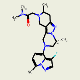 CC1Cc2nn3c(c2CN1CC(=O)N(C)C)CN(c1ccc(C#N)n2ncc(F)c12)C[C@H]3C